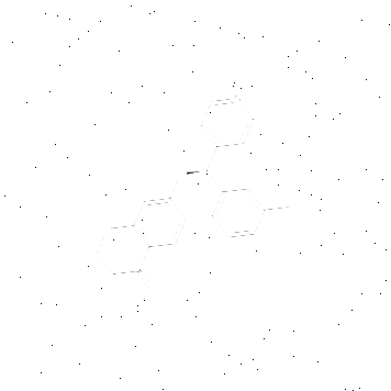 O=C1CCOc2cc(O[C@@H](c3ccncc3)c3cccc(F)c3)ccc21